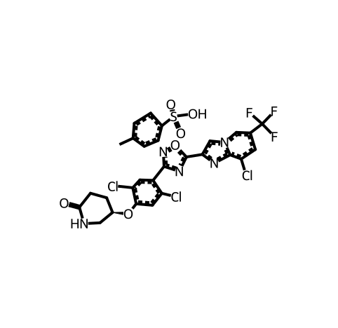 Cc1ccc(S(=O)(=O)O)cc1.O=C1CC[C@@H](Oc2cc(Cl)c(-c3noc(-c4cn5cc(C(F)(F)F)cc(Cl)c5n4)n3)cc2Cl)CN1